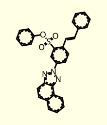 O=S(=O)(Oc1ccccc1)c1cc(-n2nc3ccc4ccccc4c3n2)ccc1C=Cc1ccccc1